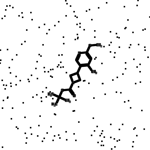 COc1cc(C)c(C2CN(C(=O)OC(C)(C)C)C2)cn1